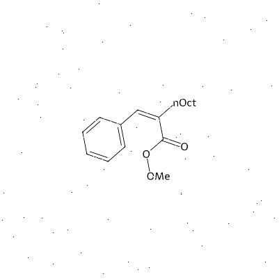 CCCCCCCCC(=Cc1ccccc1)C(=O)OOC